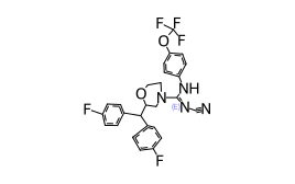 N#C/N=C(\Nc1ccc(OC(F)(F)F)cc1)N1CCOC(C(c2ccc(F)cc2)c2ccc(F)cc2)C1